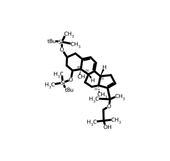 CC(C)(O)COC(C)(C)C1=CC[C@H]2C3=CC=C4CC(O[Si](C)(C)C(C)(C)C)CC(O[Si](C)(C)C(C)(C)C)[C@]4(C)[C@H]3CC[C@]12C